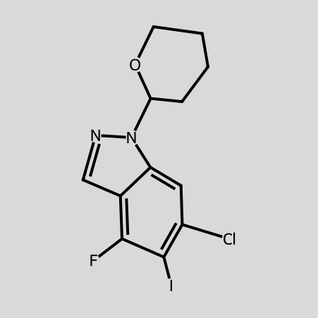 Fc1c(I)c(Cl)cc2c1cnn2C1CCCCO1